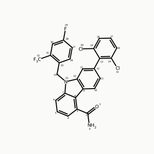 NC(=O)c1cccc2c1c1[c]cc(-c3c(Cl)cccc3Cl)cc1n2Cc1ccc(F)cc1C(F)(F)F